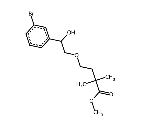 COC(=O)C(C)(C)CCOCC(O)c1cccc(Br)c1